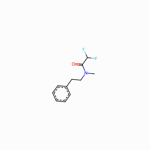 CN(CCc1ccccc1)C(=O)C(F)F